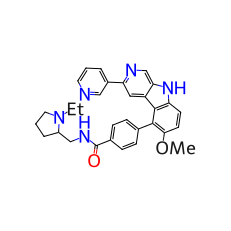 CCN1CCCC1CNC(=O)c1ccc(-c2c(OC)ccc3[nH]c4cnc(-c5cccnc5)cc4c23)cc1